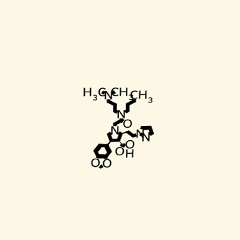 CCCCN(CCCN(C)C)C(=O)CN1C[C@H](c2ccc3c(c2)OCO3)[C@@H](C(=O)O)[C@@H]1CCn1cccn1